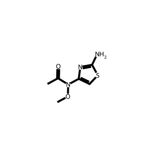 CON(C(C)=O)c1csc(N)n1